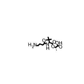 C[C@H](OC(=O)[C@@H](NC(=O)CCCN)C(C)(C)C)C(=O)O